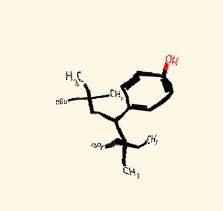 CCCCC(C)(C)CC(c1ccc(O)cc1)C(C)(C)CCC